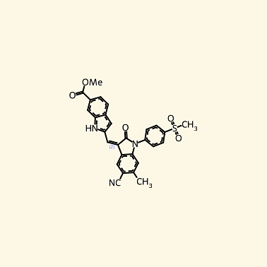 COC(=O)c1ccc2cc(/C=C3\C(=O)N(c4ccc(S(C)(=O)=O)cc4)c4cc(C)c(C#N)cc43)[nH]c2c1